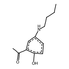 CCCCNc1ccc(O)c(C(C)=O)c1